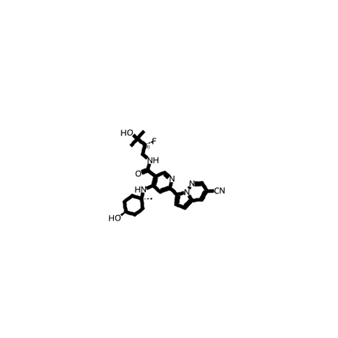 CC(C)(O)[C@H](F)CNC(=O)c1cnc(-c2ccc3cc(C#N)cnn23)cc1N[C@]1(C)CC[C@H](O)CC1